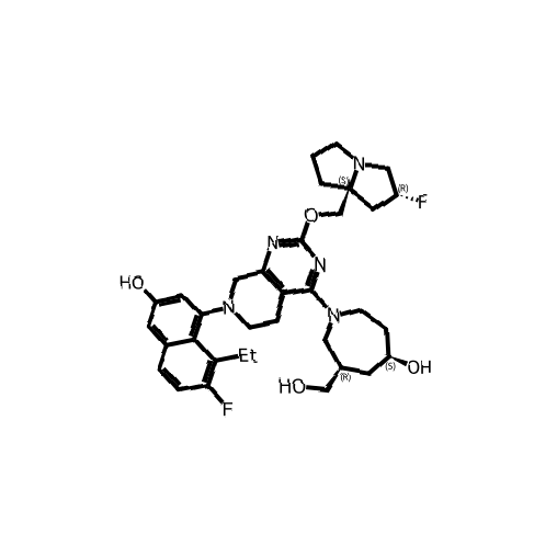 CCc1c(F)ccc2cc(O)cc(N3CCc4c(nc(OC[C@@]56CCCN5C[C@H](F)C6)nc4N4CC[C@@H](O)C[C@@H](CO)C4)C3)c12